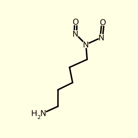 NCCCCCN(N=O)N=O